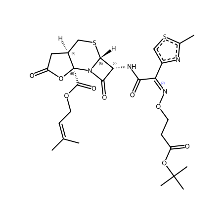 CC(C)=CCOC(=O)[C@]12OC(=O)C[C@H]1CS[C@@H]1[C@H](NC(=O)/C(=N\OCCC(=O)OC(C)(C)C)c3csc(C)n3)C(=O)N12